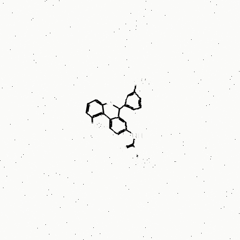 COCC(=O)Nc1ccc2c(c1)C(c1cccc(OC)c1)Oc1cccc(OC)c1-2